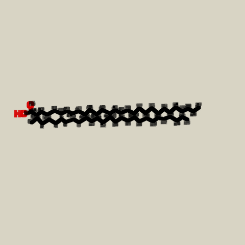 CCCCCCCCCCCCCCCCCCCCCCCCCCC.CCCCCCCCCCCCCCCCCCCCCCCCCCCCC(=O)O